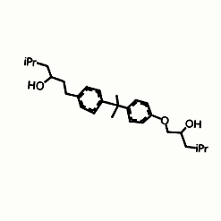 CC(C)CC(O)CCc1ccc(C(C)(C)c2ccc(OCC(O)CC(C)C)cc2)cc1